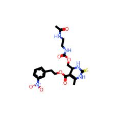 CC(=O)NCCNC(=O)OCC1NC(=S)NC(C)=C1C(=O)OCCc1cccc([N+](=O)[O-])c1